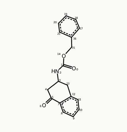 O=C(NC1CC(=O)c2ccccc2C1)OCc1ccccc1